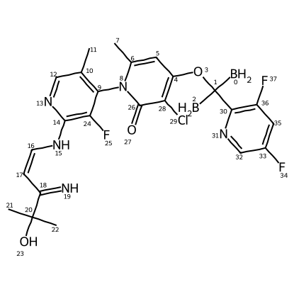 BC(B)(Oc1cc(C)n(-c2c(C)cnc(N/C=C\C(=N)C(C)(C)O)c2F)c(=O)c1Cl)c1ncc(F)cc1F